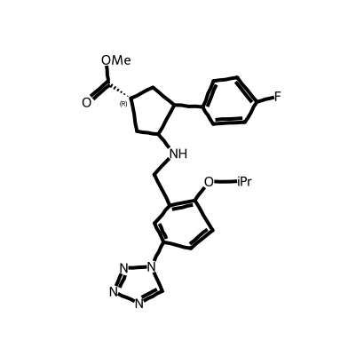 COC(=O)[C@H]1CC(NCc2cc(-n3cnnn3)ccc2OC(C)C)C(c2ccc(F)cc2)C1